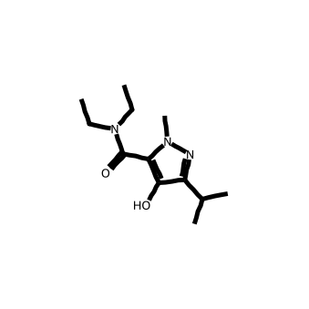 CCN(CC)C(=O)c1c(O)c(C(C)C)nn1C